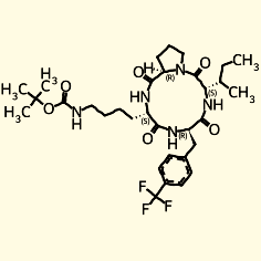 CCC(C)[C@@H]1NC(=O)[C@@H](Cc2ccc(C(F)(F)F)cc2)NC(=O)[C@H](CCCCNC(=O)OC(C)(C)C)NC(=O)[C@H]2CCCN2C1=O